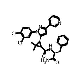 CC1(C)C(C(=O)N[C@@H](Cc2ccccc2)C(N)=O)[C@@H]1c1cc(-c2cccnc2)nn1-c1ccc(Cl)c(Cl)c1